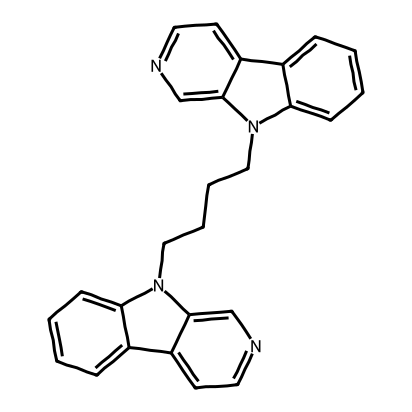 c1ccc2c(c1)c1ccncc1n2CCCCn1c2ccccc2c2ccncc21